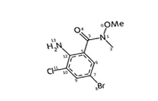 CON(C)C(=O)c1cc(Br)cc(Cl)c1N